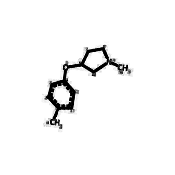 Cc1ccc(OC2CCN(C)C2)cc1